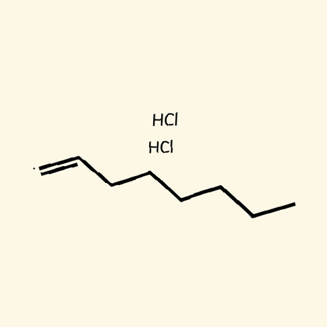 Cl.Cl.[CH]=CCCCCCC